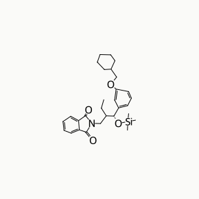 CCC(CN1C(=O)c2ccccc2C1=O)[C@@H](O[Si](C)(C)C)c1cccc(OCC2CCCCC2)c1